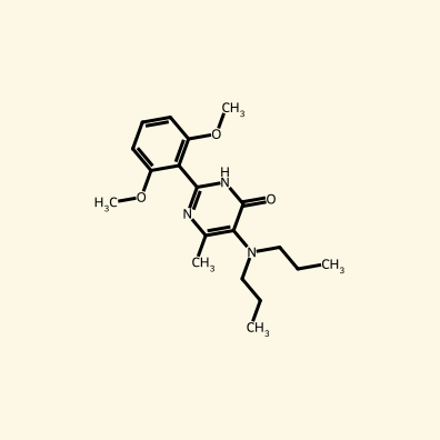 CCCN(CCC)c1c(C)nc(-c2c(OC)cccc2OC)[nH]c1=O